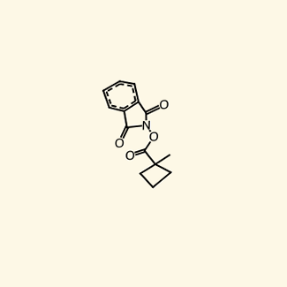 CC1(C(=O)ON2C(=O)c3ccccc3C2=O)CCC1